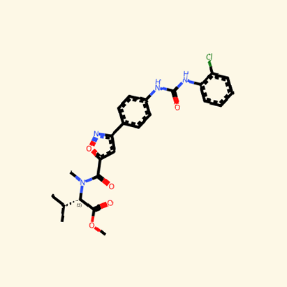 COC(=O)[C@H](C(C)C)N(C)C(=O)c1cc(-c2ccc(NC(=O)Nc3ccccc3Cl)cc2)no1